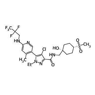 CCn1nc(C(=O)NC[C@]2(O)CC[C@@H](S(C)(=O)=O)CC2)c(Cl)c1-c1cnc(NCC(F)(F)C(F)(F)F)cc1C